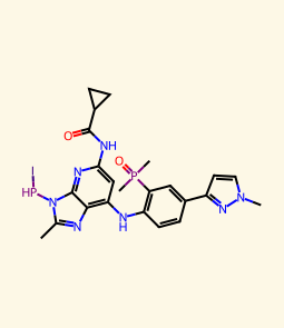 Cc1nc2c(Nc3ccc(-c4ccn(C)n4)cc3P(C)(C)=O)cc(NC(=O)C3CC3)nc2n1PI